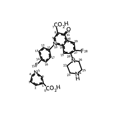 O=C(O)c1cccnc1.O=C(O)c1cn(-c2ccc(F)cc2)c2cc(N3CCNCC3)c(F)cc2c1=O